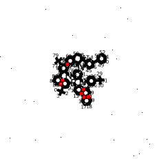 CC(C)(C)c1ccc2c(c1)B1c3ccc(-c4ccccc4)cc3N(c3ccc(C(C)(C)C)cc3-c3ccccc3)c3cc(N4c5ccc(-c6ccccc6)cc5C5(C)CCc6ccccc6C45C)cc(c31)N2c1ccc(C(C)(C)C)cc1-c1ccccc1